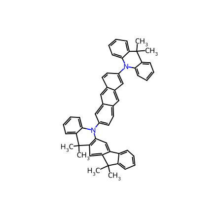 CC1(C)c2ccccc2-c2cc3c(cc21)C(C)(C)c1ccccc1N3c1ccc2cc3cc(N4c5ccccc5C(C)(C)c5ccccc54)ccc3cc2c1